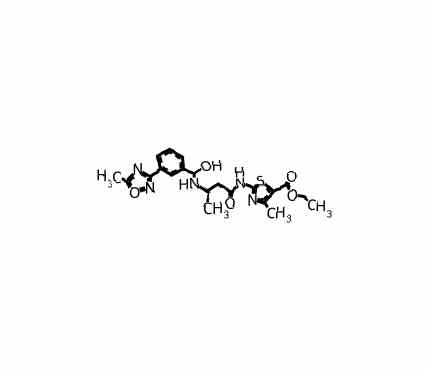 CCOC(=O)c1sc(NC(=O)C[C@@H](C)NC(O)c2cccc(-c3noc(C)n3)c2)nc1C